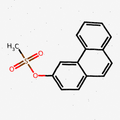 CS(=O)(=O)Oc1ccc2ccc3ccccc3c2c1